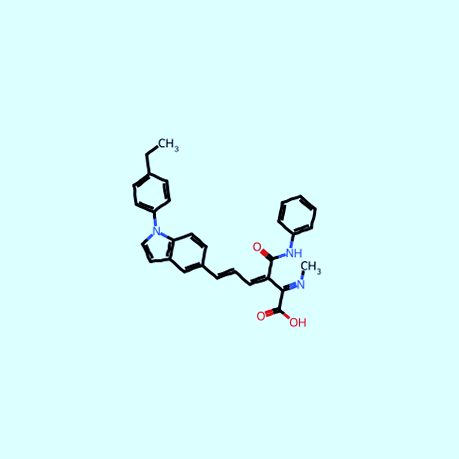 CCc1ccc(-n2ccc3cc(/C=C/C=C(C(=O)Nc4ccccc4)/C(=N\C)C(=O)O)ccc32)cc1